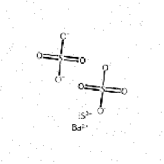 O=S(=O)([O-])[O-].O=S(=O)([O-])[O-].[Ba+2].[S+2]